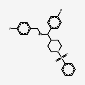 O=S(=O)(c1ccccc1)N1CCC(C(NCc2ccc(F)cc2)c2ccc(F)cc2)CC1